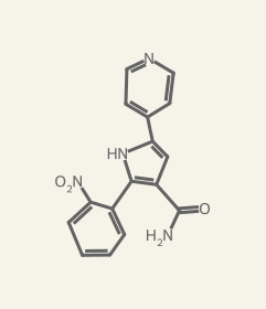 NC(=O)c1cc(-c2ccncc2)[nH]c1-c1ccccc1[N+](=O)[O-]